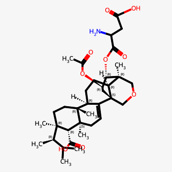 CC(=O)O[C@@H]1C[C@]23COC[C@@](C)([C@@H]2CC[C@H]2C3=CC[C@@]3(C)[C@H](C(=O)O)[C@@](C)([C@H](C)C(C)C)CC[C@]23C)[C@H]1OC(=O)C(N)CC(=O)O